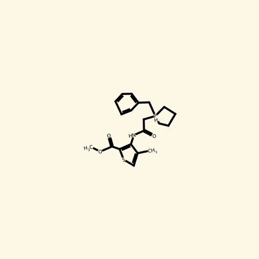 COC(=O)c1scc(C)c1NC(=O)C[PH]1(Cc2ccccc2)CCCC1